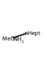 CCCCCCCCCCCCCCC[C@@H](N)COC